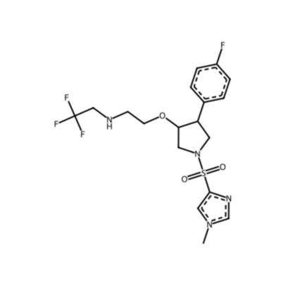 Cn1cnc(S(=O)(=O)N2CC(OCCNCC(F)(F)F)C(c3ccc(F)cc3)C2)c1